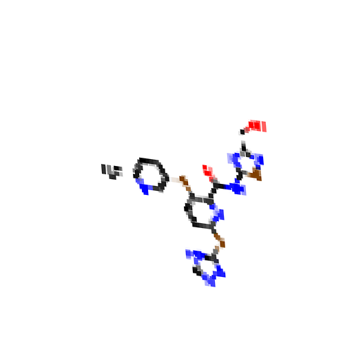 Cc1ccc(Sc2ccc(Sc3nnc[nH]3)nc2C(=O)Nc2nc(CO)ns2)cn1